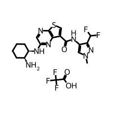 Cn1cc(NC(=O)c2csc3ncc(N[C@@H]4CCCC[C@@H]4N)nc23)c(C(F)F)n1.O=C(O)C(F)(F)F